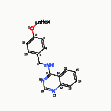 CCCCCCOc1ccc(CNc2ncnc3ccccc23)cc1